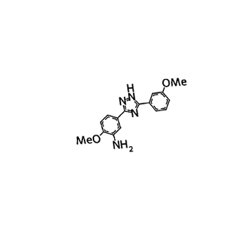 COc1cccc(-c2nc(-c3ccc(OC)c(N)c3)n[nH]2)c1